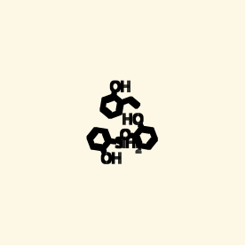 C=Cc1ccccc1O.Oc1ccccc1O[SiH2]c1ccccc1O